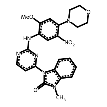 COc1cc(N2CCOCC2)c([N+](=O)[O-])cc1Nc1nccc(-n2c(=O)n(C)c3ccccc32)n1